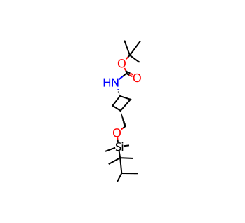 CC(C)C(C)(C)[Si](C)(C)OC[C@H]1C[C@H](NC(=O)OC(C)(C)C)C1